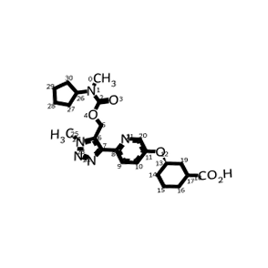 CN(C(=O)OCc1c(-c2ccc(O[C@H]3CCCC(C(=O)O)C3)cn2)nnn1C)C1CCCC1